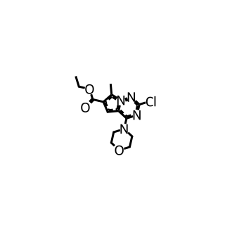 CCOC(=O)c1cc2c(N3CCOCC3)nc(Cl)nn2c1C